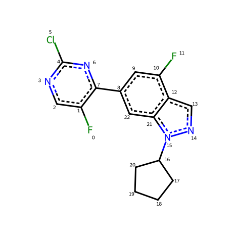 Fc1cnc(Cl)nc1-c1cc(F)c2cnn(C3CCCC3)c2c1